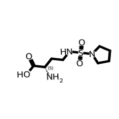 N[C@@H](CCNS(=O)(=O)N1CCCC1)C(=O)O